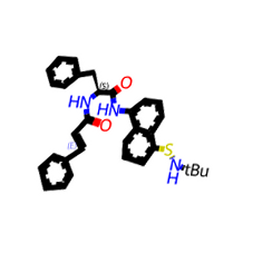 CC(C)(C)NSc1cccc2c(NC(=O)[C@H](Cc3ccccc3)NC(=O)/C=C/c3ccccc3)cccc12